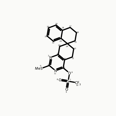 CSc1nc2c(c(OS(=O)(=O)C(F)(F)F)n1)CCC1(CCCc3ccccc31)C2